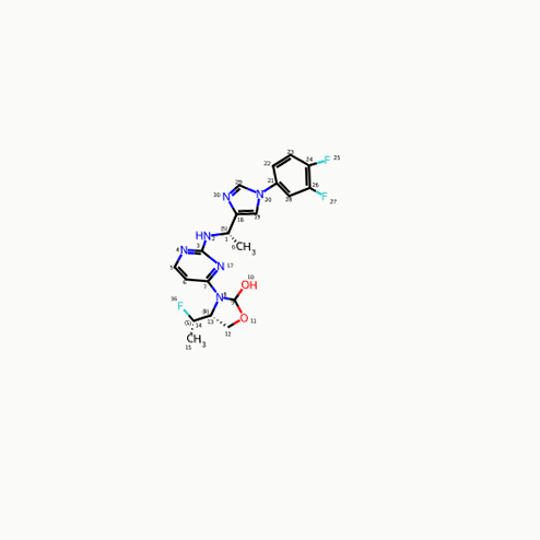 C[C@H](Nc1nccc(N2C(O)OC[C@@H]2[C@H](C)F)n1)c1cn(-c2ccc(F)c(F)c2)cn1